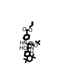 C=CCOC(=O)c1ccc(NC(=O)C(O)(NC(=O)OC(C)(C)C)c2ccc3c(c2)C(C)(C)CCC3(C)C)cc1